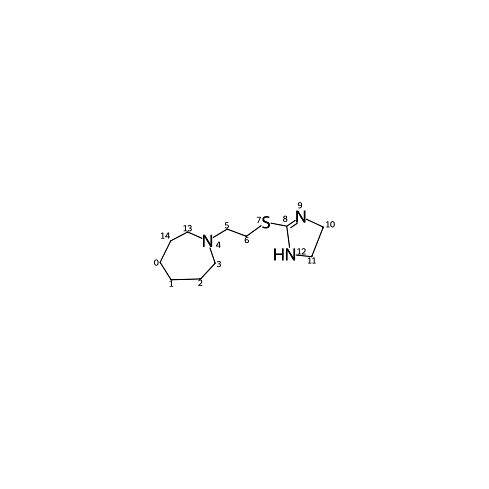 C1CCCN(CCSC2=NCCN2)CC1